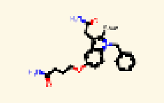 CSc1c(CC(N)=O)c2cc(OCCCC(N)=O)ccc2n1Cc1ccccc1